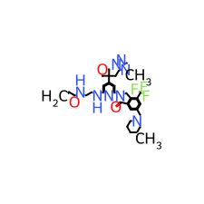 C=CC(=O)NCCNc1cc(C2(Cc3nncn3C)COC2)cc(N2Cc3c(cc(CN4CCCC(C)C4)cc3C(F)(F)F)C2=O)n1